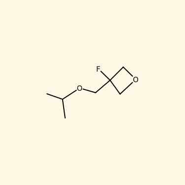 CC(C)OCC1(F)COC1